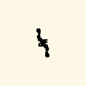 [C-]#[N+]C(=C\c1ccc(OCCCN2CCCCC2)cc1)/C(=C/c1ccc(OCCCN2CCCCC2)cc1)[N+]#[C-]